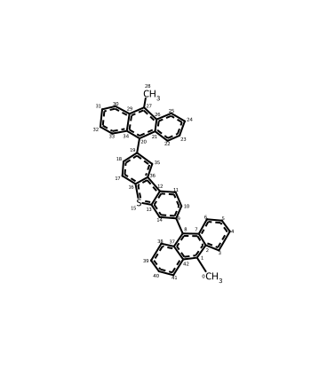 Cc1c2ccccc2c(-c2ccc3c(c2)sc2ccc(-c4c5ccccc5c(C)c5ccccc45)cc23)c2ccccc12